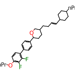 CCCOc1ccc(-c2ccc(C3CCC(CC/C=C/C4CCC(CCC)CC4)CO3)cc2)c(F)c1F